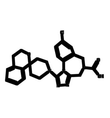 O=C(O)N1Cc2cc(Cl)ccc2-n2c(nnc2N2CCC3(CC2)OCCc2ccccc23)C1